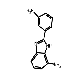 Nc1cccc(-c2nc3cccc(N)c3[nH]2)c1